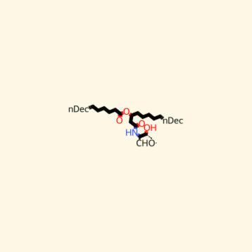 CCCCCCCCCCCCCCCC(=O)OC(CCCCCCCCCCCCCCC)CC(=O)N[C@H]([C]=O)[C@@H](C)O